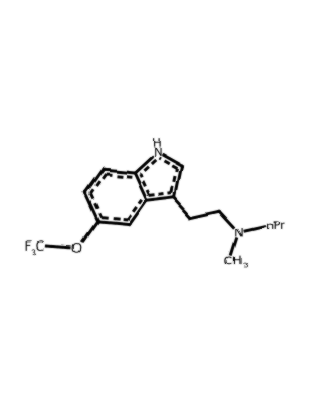 CCCN(C)CCc1c[nH]c2ccc(OC(F)(F)F)cc12